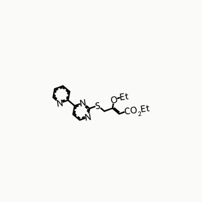 CCOC(=O)/C=C(/CSc1nccc(-c2ccccn2)n1)OCC